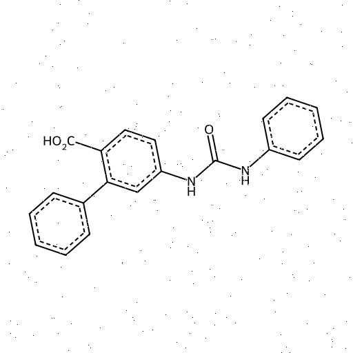 O=C(Nc1ccccc1)Nc1ccc(C(=O)O)c(-c2ccccc2)c1